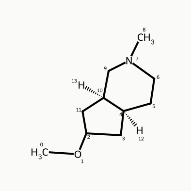 COC1C[C@@H]2CCN(C)C[C@@H]2C1